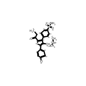 CCC(=O)c1sc(-c2ccc(Cl)cc2)c(C)c1-c1ccc(S(N)(=O)=O)cc1.[CH3][Sn][CH3]